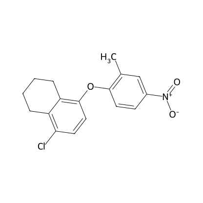 Cc1cc([N+](=O)[O-])ccc1Oc1ccc(Cl)c2c1CCCC2